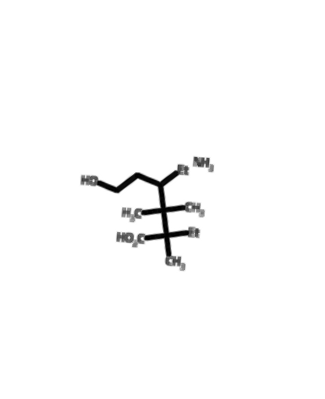 CCC(CCO)C(C)(C)C(C)(CC)C(=O)O.N